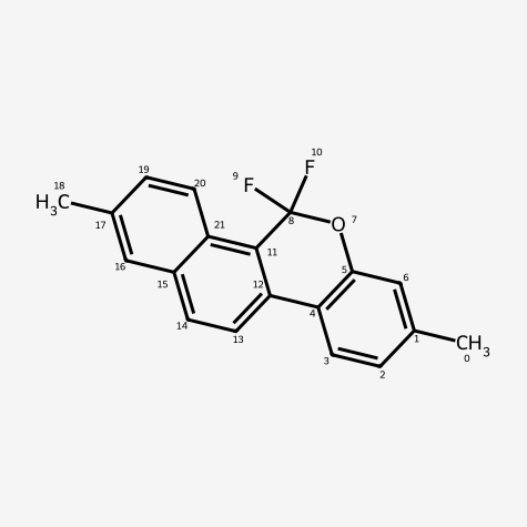 Cc1ccc2c(c1)OC(F)(F)c1c-2ccc2cc(C)ccc12